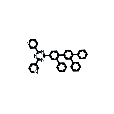 c1ccc(-c2ccc(-c3ccc(-c4nc(-c5cccnc5)nc(-c5cccnc5)n4)cc3-c3ccccc3)cc2-c2ccccc2)cc1